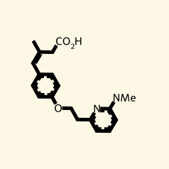 CNc1cccc(CCOc2ccc(C=C(C)CC(=O)O)cc2)n1